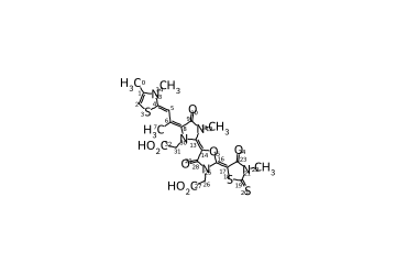 CC1=CSC(=C/C(C)=c2\c(=O)n(C)/c(=c3\o/c(=C4/SC(=S)N(C)C4=O)n(CC(=O)O)c3=O)n2CC(=O)O)N1C